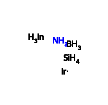 B.N.[InH3].[Ir].[SiH4]